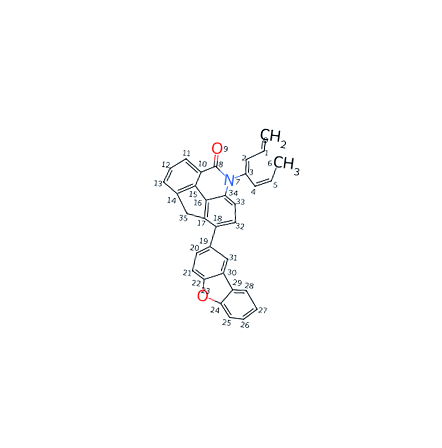 C=C/C=C(\C=C/C)n1c(=O)c2cccc3c2c2c(c(-c4ccc5oc6ccccc6c5c4)ccc21)C3